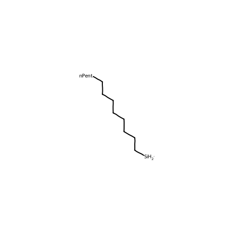 CCCCCCCCCCCCC[SiH2]